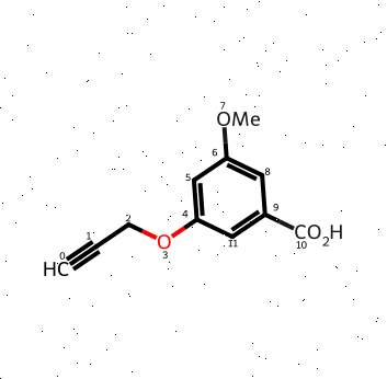 C#CCOc1cc(OC)cc(C(=O)O)c1